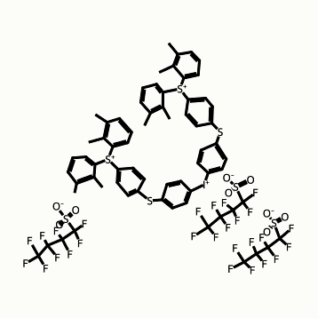 Cc1cccc([S+](c2ccc(Sc3ccc([I+]c4ccc(Sc5ccc([S+](c6cccc(C)c6C)c6cccc(C)c6C)cc5)cc4)cc3)cc2)c2cccc(C)c2C)c1C.O=S(=O)([O-])C(F)(F)C(F)(F)C(F)(F)C(F)(F)F.O=S(=O)([O-])C(F)(F)C(F)(F)C(F)(F)C(F)(F)F.O=S(=O)([O-])C(F)(F)C(F)(F)C(F)(F)C(F)(F)F